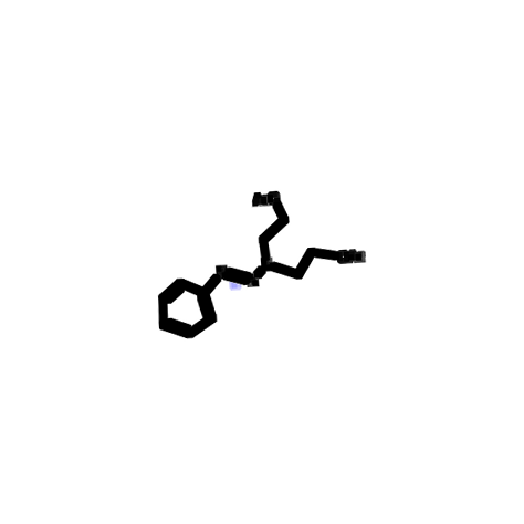 CC(=O)OCCN(CCOC(C)=O)/N=N/c1ccccc1